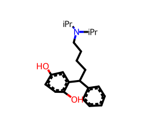 CC(C)N(CCCCC(c1ccccc1)c1cc(O)ccc1O)C(C)C